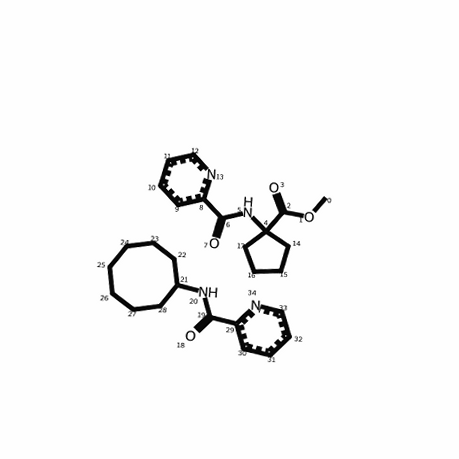 COC(=O)C1(NC(=O)c2ccccn2)CCCC1.O=C(NC1CCCCCCC1)c1ccccn1